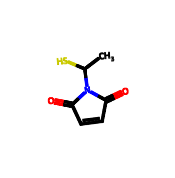 CC(S)N1C(=O)C=CC1=O